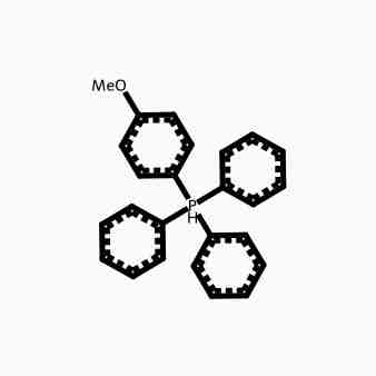 COc1ccc([PH](c2ccccc2)(c2ccccc2)c2ccccc2)cc1